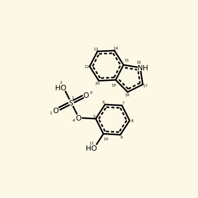 O=S(=O)(O)Oc1ccccc1O.c1ccc2[nH]ccc2c1